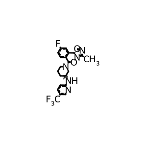 Cc1noc(-c2cc(F)ccc2C(=O)N2CCC[C@@H](Nc3ccc(C(F)(F)F)cn3)C2)n1